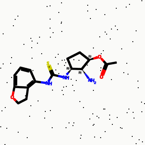 CC(=O)O[C@@H]1CC[C@@H](NC(=S)Nc2cccc3c2CCO3)[C@H]1N